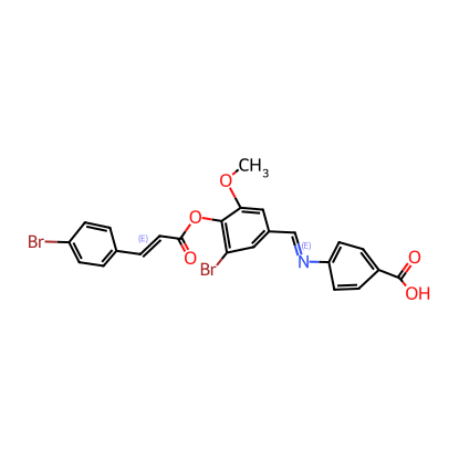 COc1cc(/C=N/c2ccc(C(=O)O)cc2)cc(Br)c1OC(=O)/C=C/c1ccc(Br)cc1